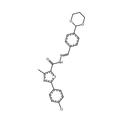 Cc1nc(-c2ccc(Cl)cc2)sc1C(=O)N/N=C/c1ccc(B2OCCCO2)cc1